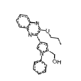 CCCOc1nc2ccccc2nc1-c1cc(CO)n(-c2ccccc2)c1